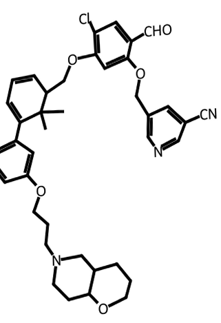 CC1(C)C(c2cccc(OCCCN3CCC4OCCCC4C3)c2)=CC=CC1COc1cc(OCc2cncc(C#N)c2)c(C=O)cc1Cl